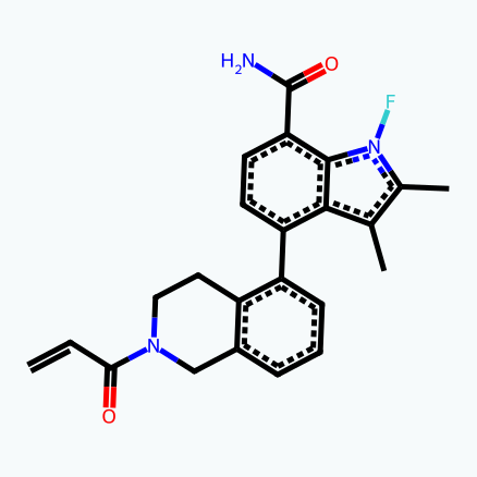 C=CC(=O)N1CCc2c(cccc2-c2ccc(C(N)=O)c3c2c(C)c(C)n3F)C1